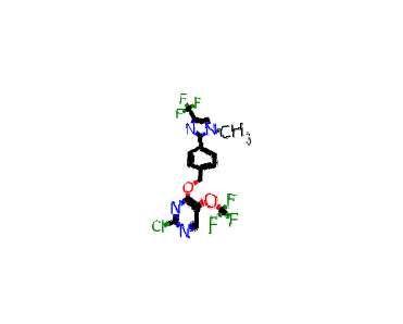 Cn1cc(C(F)(F)F)nc1-c1ccc(COc2nc(Cl)ncc2OC(F)(F)F)cc1